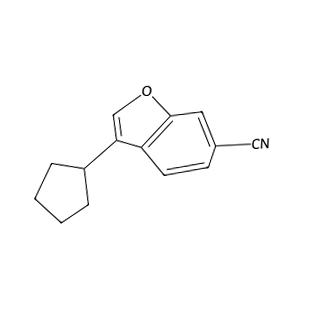 N#Cc1ccc2c(C3CCCC3)coc2c1